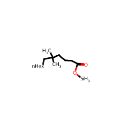 CCCCCCCC(C)(C)CCCC(=O)O[SiH3]